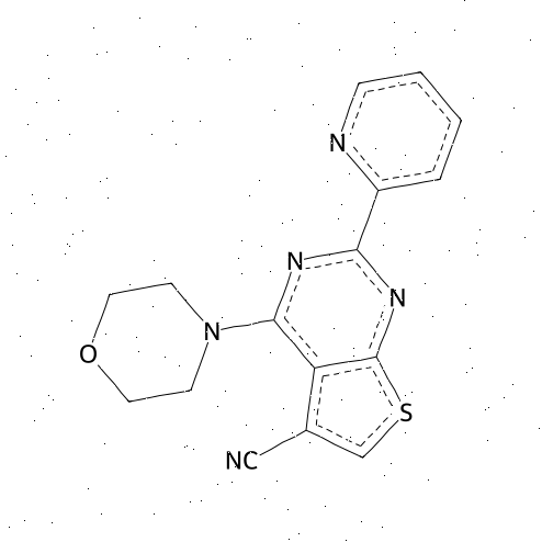 N#Cc1csc2nc(-c3ccccn3)nc(N3CCOCC3)c12